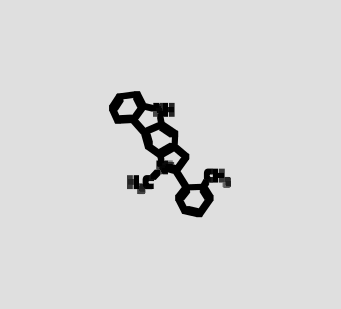 Cc1ccccc1C1=[N+](C)c2cc3c(cc2C1)[nH]c1ccccc13